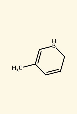 CC1=CBCC=C1